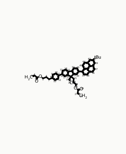 C=CC(=O)OCCCc1ccc(-c2ccc3c(c2)C(C=C)(CCCOC(=O)C=C)c2cc(-c4ccc5ccc6cc(C(C)(C)C)cc7ccc4c5c67)ccc2-3)cc1